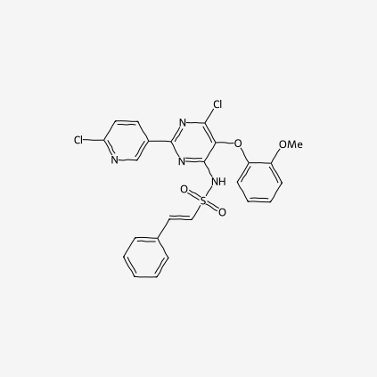 COc1ccccc1Oc1c(Cl)nc(-c2ccc(Cl)nc2)nc1NS(=O)(=O)C=Cc1ccccc1